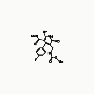 COC(=O)c1c(C(C)C)[nH]c(=O)c(CNC(=O)OC(C)(C)C)c1-c1ccc(F)cc1